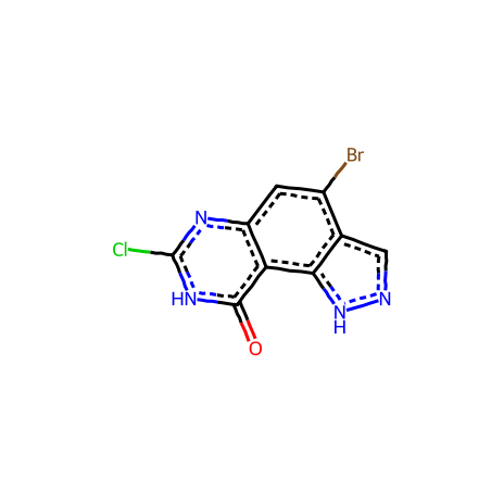 O=c1[nH]c(Cl)nc2cc(Br)c3cn[nH]c3c12